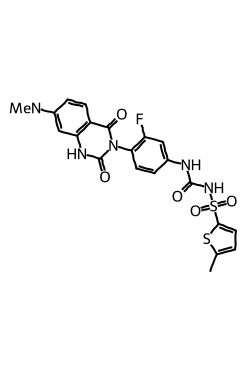 CNc1ccc2c(=O)n(-c3ccc(NC(=O)NS(=O)(=O)c4ccc(C)s4)cc3F)c(=O)[nH]c2c1